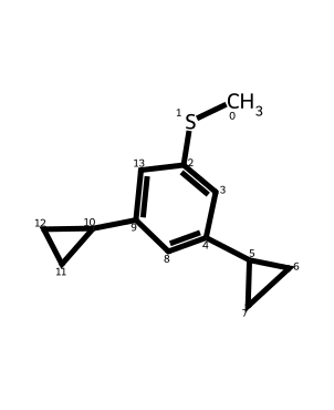 CSc1cc(C2CC2)cc(C2CC2)c1